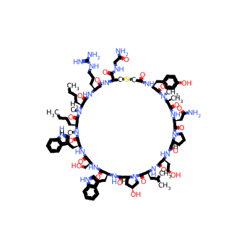 CCCC[C@H]1C(=O)N(C)[C@@H](CCCC)C(=O)N[C@@H](CCCNC(=N)N)C(=O)NC(C(=O)NCC(N)=O)CSCC(=O)N[C@@H](Cc2ccc(O)cc2)C(=O)N(C)[C@@H](C)C(=O)N[C@@H](CC(N)=O)C(=O)N2CCC[C@H]2C(=O)N[C@@H](CCO)C(=O)N[C@@H](CC(C)C)C(=O)N2C[C@H](O)C[C@H]2C(=O)N[C@@H](Cc2c[nH]c3ccccc23)C(=O)N[C@@H](CO)C(=O)N[C@@H](Cc2c[nH]c3ccccc23)C(=O)N1C